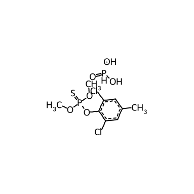 COP(=S)(OC)Oc1c(Cl)cc(C)cc1Cl.O=[PH](O)O